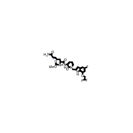 COC(=O)NC(CC/C=C/C(N)=O)C(=O)Nc1cccn(Cc2cc3cc(F)cc(OCC(F)F)c3[nH]2)c1=O